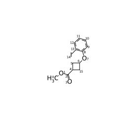 COC(=O)C1CC(Oc2ccccc2I)C1